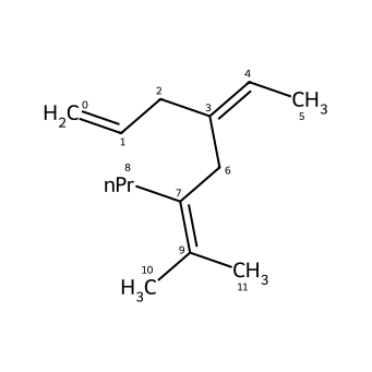 C=CC/C(=C/C)CC(CCC)=C(C)C